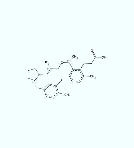 Cc1ccc(C[C@@H]2CCCN2C[C@H](O)CO[C@H](C)c2cccc(C)c2CCC(=O)O)cc1F